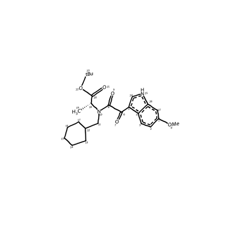 COc1ccc2c(C(=O)C(=O)N(CC3CCCCC3)[C@H](C)C(=O)OC(C)(C)C)c[nH]c2c1